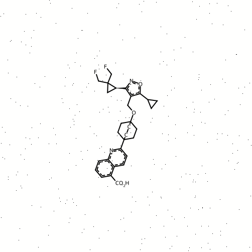 O=C(O)c1cccc2nc(C34CCC(OCc5c([C@H]6CC6(CF)CF)noc5C5CC5)(CC3)CC4)ccc12